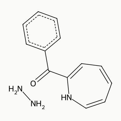 NN.O=C(C1=CC=CC=CN1)c1ccccc1